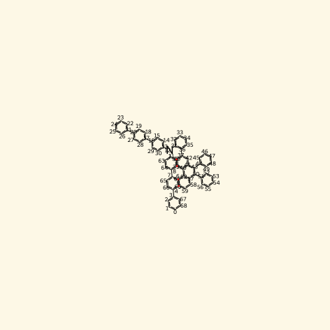 c1ccc(-c2ccc(-c3ccc(N(c4ccc(-c5ccc(-c6ccccc6)cc5)cc4)c4ccccc4-c4ccc5c(c4)c(-c4ccccc4)c(-c4ccccc4)c4ccccc45)cc3)cc2)cc1